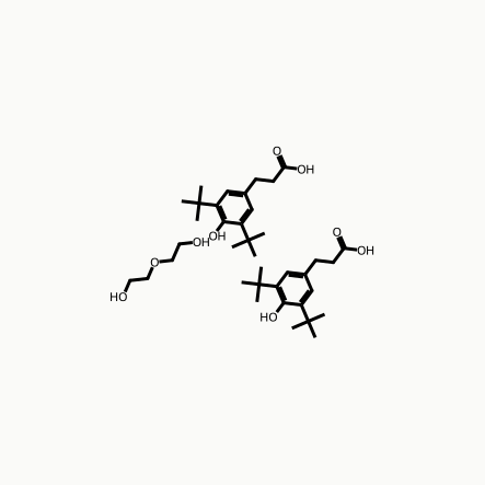 CC(C)(C)c1cc(CCC(=O)O)cc(C(C)(C)C)c1O.CC(C)(C)c1cc(CCC(=O)O)cc(C(C)(C)C)c1O.OCCOCCO